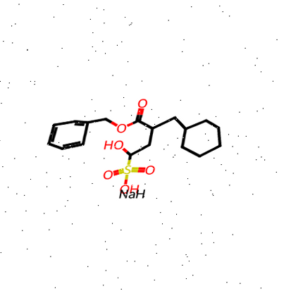 O=C(OCc1ccccc1)C(CC1CCCCC1)CC(O)S(=O)(=O)O.[NaH]